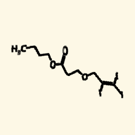 CCCCOC(=O)CCOCC(I)=C(I)I